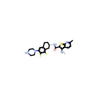 Cc1ccc2c(N)c(C(=O)N[C@H]3CCc4cc(N5CCNCC5)c(F)c(F)c4C3)sc2n1